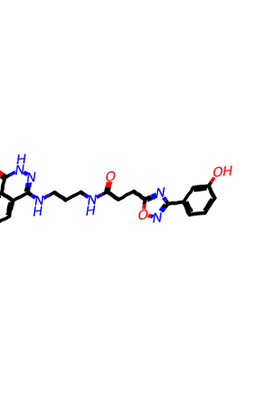 O=C(CCc1nc(-c2cccc(O)c2)no1)NCCCNc1n[nH]c(=O)c2ccccc12